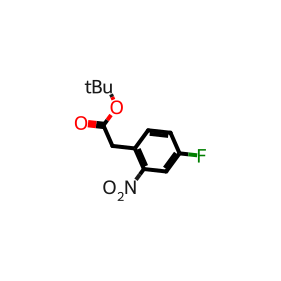 CC(C)(C)OC(=O)Cc1ccc(F)cc1[N+](=O)[O-]